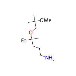 CCC(C)(CCCN)OCC(C)(C)OC